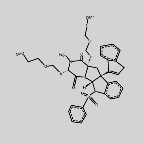 COCCOCS[C@H]1C(=O)N2[C@H]3N(S(=O)(=O)c4ccccc4)c4ccccc4[C@@]3(C3=CCc4ccccc43)C[C@]2(SCOCCOC)C(=O)N1C